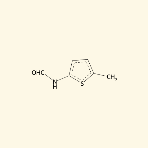 Cc1ccc(N[C]=O)s1